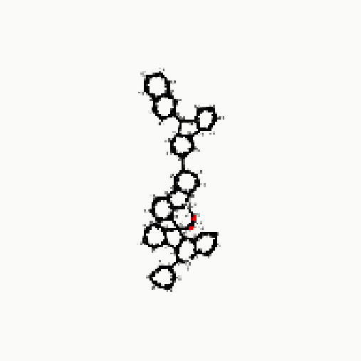 c1ccc(-c2nc3ccccc3c3c2-c2ccccc2C32c3ccccc3-n3c4ccc(-c5ccc6c(c5)-c5ccccc5C6c5ccc6ccccc6c5)cc4c4cccc2c43)cc1